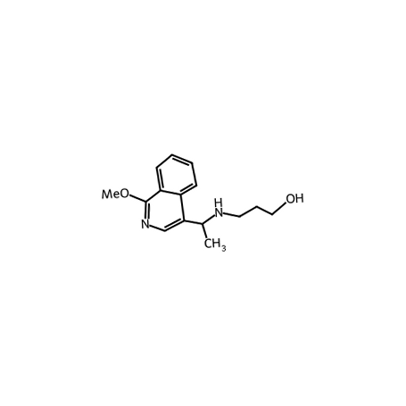 COc1ncc(C(C)NCCCO)c2ccccc12